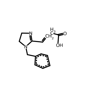 C=CC1=NCCN1Cc1ccccc1.CC(=O)O